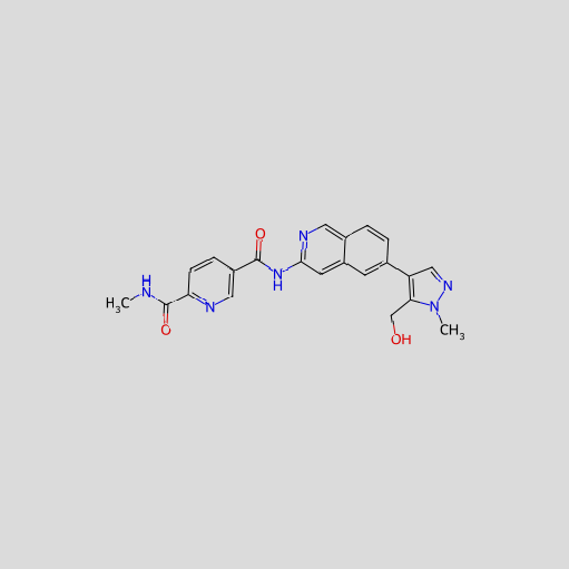 CNC(=O)c1ccc(C(=O)Nc2cc3cc(-c4cnn(C)c4CO)ccc3cn2)cn1